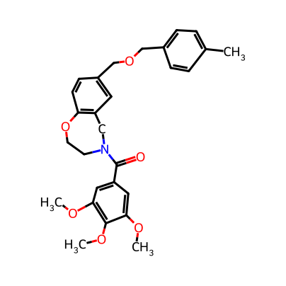 COc1cc(C(=O)N2CCOc3ccc(COCc4ccc(C)cc4)cc3C2)cc(OC)c1OC